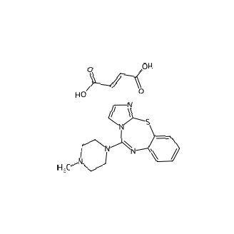 CN1CCN(C2=Nc3ccccc3Sc3nccn32)CC1.O=C(O)C=CC(=O)O